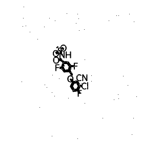 CS(=O)(=O)NC(=O)c1cc(F)c(COc2ccc(F)c(Cl)c2C#N)cc1F